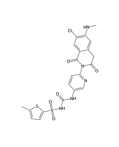 CNc1cc2c(cc1Cl)C(=O)N(c1ccc(NC(=O)NS(=O)(=O)c3ccc(C)s3)cn1)C(=O)C2